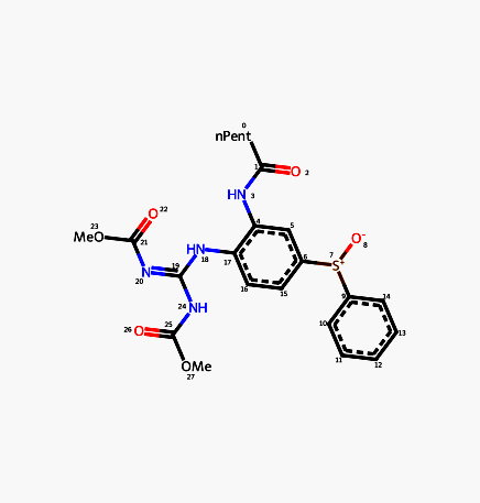 CCCCCC(=O)Nc1cc([S+]([O-])c2ccccc2)ccc1NC(=NC(=O)OC)NC(=O)OC